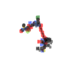 Cc1ncsc1-c1ccc([C@H](C)NC(=O)[C@@H]2C[C@@H](O)CN2C(=O)[C@@H](NC(=O)COCCOCCOCCOCCOCC(=O)NCC2(C)CCC(c3ccc(Cl)cc3)=C(CN3CCN(c4ccc(C(=O)NS(=O)(=O)c5ccc(N[C@H](CCN6CCOCC6)CSc6ccccc6)c(S(=O)(=O)C(F)(F)F)c5)cc4)CC3)C2)C(C)(C)C)cc1